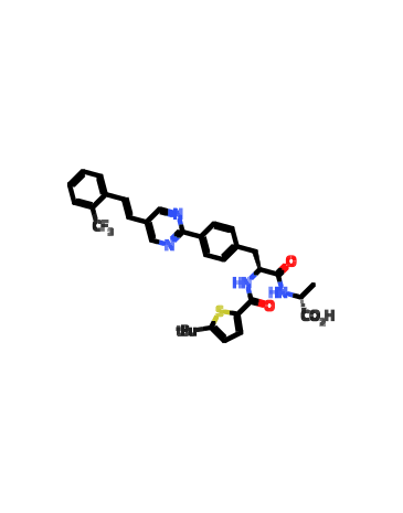 C[C@@H](NC(=O)[C@H](Cc1ccc(-c2ncc(/C=C/c3ccccc3C(F)(F)F)cn2)cc1)NC(=O)c1ccc(C(C)(C)C)s1)C(=O)O